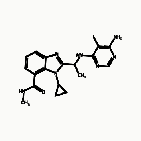 CNC(=O)c1cccc2nc(C(C)Nc3ncnc(N)c3I)n(C3CC3)c12